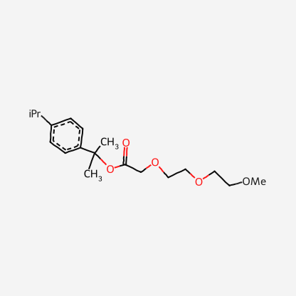 COCCOCCOCC(=O)OC(C)(C)c1ccc(C(C)C)cc1